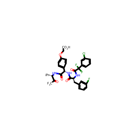 CC(C)[C@H](NC(=O)[C@@H](NC(=O)[C@H](Cc1cccc(F)c1)NC(=O)C(F)(F)c1cccc(Cl)c1)c1ccc(OCC(=O)O)cc1)C(=O)C(F)(F)F